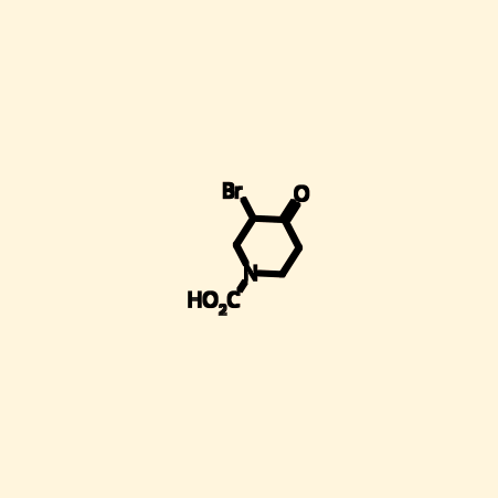 O=C1CCN(C(=O)O)CC1Br